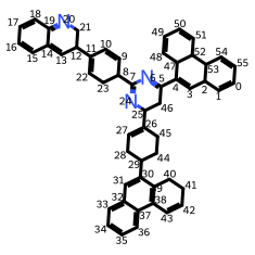 C1=CC2C=C(C3=NC(C4C=CC(C5C=c6ccccc6=NC5)=CC4)=NC(C4=CCC(c5cc6ccccc6c6c5CCC=C6)CC4)C3)C3C=CC=CC3C2C=C1